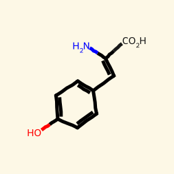 N/C(=C\c1ccc(O)cc1)C(=O)O